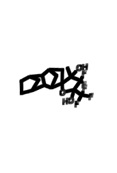 CC1(O)C2(CC3CC2C2C4CCC(C4)C32)OC(O)(C(F)(F)F)C1(F)F